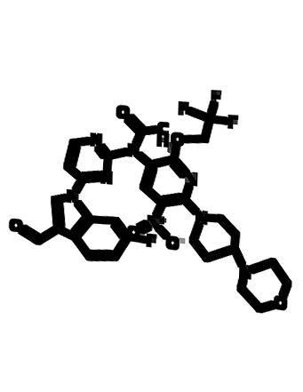 CC(=O)N(c1nccc(-n2cc(C=O)c3ccc(F)cc32)n1)c1cc([N+](=O)[O-])c(N2CCC(N3CCOCC3)CC2)nc1OCC(F)(F)F